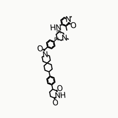 Cc1c(N[C@@H]2C[C@H](c3ccc(C(=O)N4CCC5(CCC(c6ccc(C7CCC(=O)NC7=O)cc6)CC5)CC4)cc3)CN(C)C2)ccn(C)c1=O